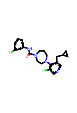 O=C(Nc1cccc(Cl)c1)N1CCCN(c2c(Cl)cncc2CC2CC2)CC1